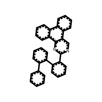 c1ccc(-c2ccccc2-c2ccccc2-c2ncc3c4ccccc4c4ccccc4c3n2)cc1